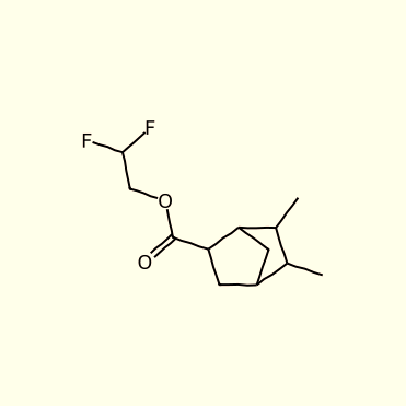 CC1C2CC(C(=O)OCC(F)F)C(C2)C1C